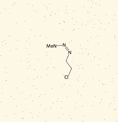 CN/N=N\CCCl